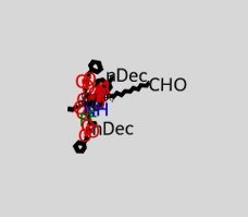 C=CCO[C@@H]1O[C@H](COC(=O)OCc2ccccc2)[C@@H](OP(=O)(c2ccccc2)c2ccccc2)[C@H](OC(=O)C[C@@H](CCCCCCCCCCC=O)C(=O)CCCCCCCCCCCCC)[C@H]1NC(=O)C(F)(F)C(CCCCCCCCCCC)OC(=O)OCc1ccccc1